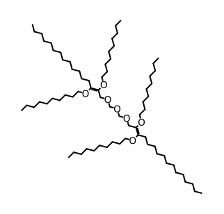 CCCCCCCCCCCCCC(OCCCCCCCCCC)=C(COCOCOCC(OCCCCCCCCCC)=C(CCCCCCCCCCCCC)OCCCCCCCCCC)OCCCCCCCCCC